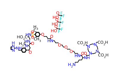 Cc1cc(OCCCC(=O)NCCCOCCOCCOCCCNC(=O)C(CCCCN)NC(=O)CN2CCN(CC(=O)O)CCN(CC(=O)O)CCN(CC(=O)O)CC2)cc(C)c1S(=O)(=O)NC(CNC(=O)C1CC(=O)c2ccc(CNc3ncc[nH]3)cc2N1C)C(=O)O.O=C(O)C(F)(F)F.O=C(O)C(F)(F)F.O=C(O)C(F)(F)F